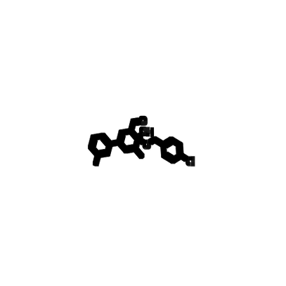 CC1=CC(c2cccc(C)c2)=CC(C=O)C1(O)OCc1ccc(Cl)cc1